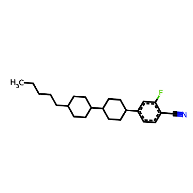 CCCCCC1CCC(C2CCC(c3ccc(C#N)c(F)c3)CC2)CC1